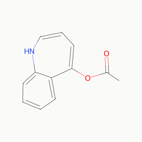 CC(=O)OC1=CC=CNc2ccccc21